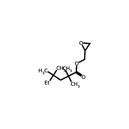 CCC(C)(C)CC(C)(C)C(=O)OCC1CO1